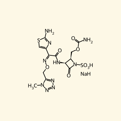 Cn1nnnc1CO/N=C(\C(=O)N[C@@H]1C(=O)N(S(=O)(=O)O)[C@@H]1COC(N)=O)c1csc(N)n1.[NaH]